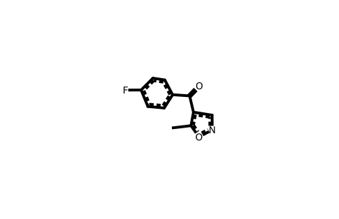 Cc1oncc1C(=O)c1ccc(F)cc1